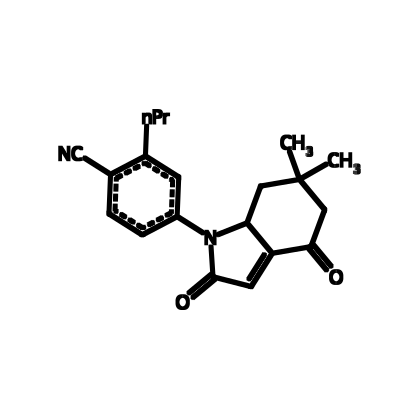 CCCc1cc(N2C(=O)C=C3C(=O)CC(C)(C)CC32)ccc1C#N